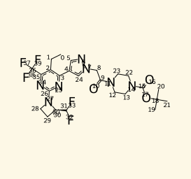 CCc1c(-c2cnn(CC(=O)N3CCN(C(=O)OC(C)(C)C)CC3)c2)nc(N2CC[C@@H]2C(F)F)nc1C(F)(F)F